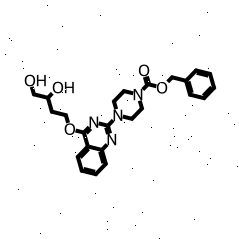 O=C(OCc1ccccc1)N1CCN(c2nc(OCCC(O)CO)c3ccccc3n2)CC1